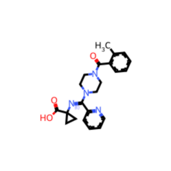 Cc1ccccc1C(=O)N1CCN(/C(=N/C2(C(=O)O)CC2)c2ccccn2)CC1